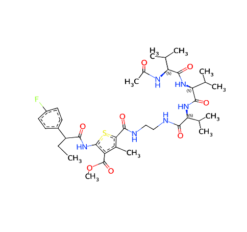 CCC(C(=O)Nc1sc(C(=O)NCCNC(=O)[C@@H](NC(=O)[C@@H](NC(=O)[C@@H](NC(C)=O)C(C)C)C(C)C)C(C)C)c(C)c1C(=O)OC)c1ccc(F)cc1